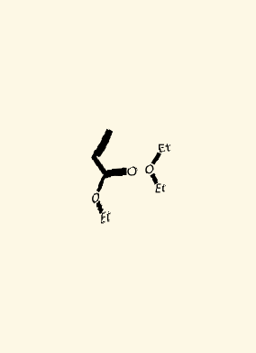 C=CC(=O)OCC.CCOCC